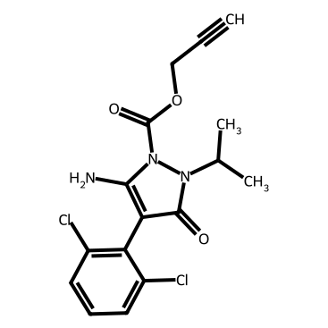 C#CCOC(=O)n1c(N)c(-c2c(Cl)cccc2Cl)c(=O)n1C(C)C